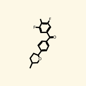 Cc1c(F)cc(C(=O)c2ccc(C3CCC(C)CO3)cc2)cc1F